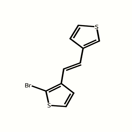 Brc1sccc1C=Cc1ccsc1